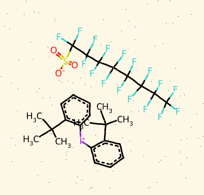 CC(C)(C)c1ccccc1[I+]c1ccccc1C(C)(C)C.O=S(=O)([O-])C(F)(F)C(F)(F)C(F)(F)C(F)(F)C(F)(F)C(F)(F)C(F)(F)C(F)(F)F